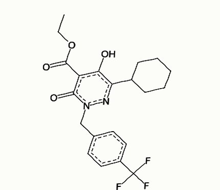 CCOC(=O)c1c(O)c(C2CCCCC2)nn(Cc2ccc(C(F)(F)F)cc2)c1=O